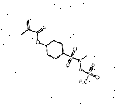 C=C(C)C(=O)OC1CCC(S(=O)(=O)N(C)OS(=O)(=O)C(F)(F)F)CC1